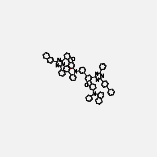 c1ccc(-c2ccc(-c3nc(-c4ccccc4)nc(-c4cc(-c5cccc(N(c6ccc7c(c6)oc6cccc(-c8nc(-c9ccccc9)nc(-c9ccc%10ccccc%10c9)n8)c67)c6ccccc6-c6ccccc6)c5)cc5oc6cc(N(c7ccccc7)c7cccc8ccccc78)ccc6c45)n3)cc2)cc1